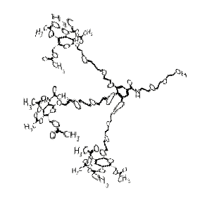 CC(=O)N[C@H]1[C@H](OCCOCCOCCOc2cc(C(=O)NCCOCCOCCO)cc(OCCOCCOCCO[C@@H]3O[C@H](COC(C)=O)[C@H](OC(C)=O)[C@H](OC(C)=O)[C@H]3NC(C)=O)c2OCCOCCOCCO[C@@H]2O[C@H](COC(C)=O)[C@H](OC(C)=O)[C@H](OC(C)=O)[C@H]2NC(C)=O)O[C@H](COC(C)=O)[C@H](OC(C)=O)[C@@H]1OC(C)=O